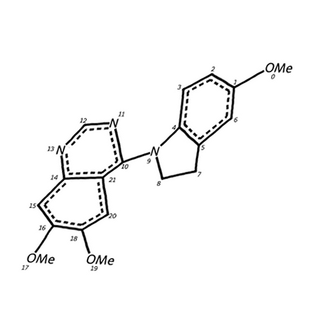 COc1ccc2c(c1)CCN2c1ncnc2cc(OC)c(OC)cc12